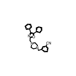 N#Cc1cccc(CN2CCN(Cc3nc(-c4ccccc4)c(-c4ccccc4)o3)CC2)c1